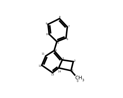 CC1Cc2c(-c3ccccc3)cccc21